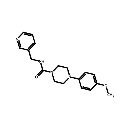 COc1ccc(N2CCN(C(=O)NCc3cccnc3)CC2)cc1